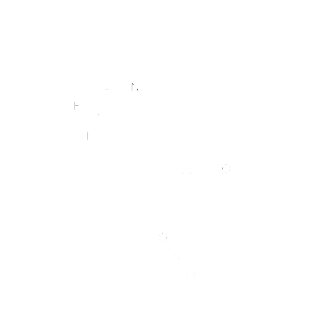 Cc1ccc(S(C)(=O)=O)cc1C(=O)Oc1cccc(-c2c(C(C)C)cnc3c(C(F)(F)F)cccc23)c1